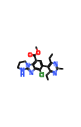 CCc1nc(C)nc(CC)c1-c1cc(C(=O)OC)c2c(nc3n2CCCN3)c1Cl